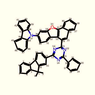 CC1(C)c2ccccc2-c2ccc(-c3nc(-c4ccccc4)nc(-c4cc5ccccc5c5oc6cc(-n7c8ccccc8c8ccccc87)ccc6c45)n3)cc21